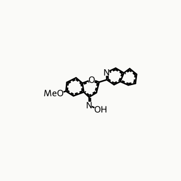 COc1ccc2oc(-c3cc4ccccc4cn3)cc(=NO)c2c1